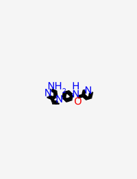 Nc1cc2c(ccn2-c2ccc(NC(=O)c3cccnc3)cc2)cn1